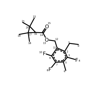 CCc1c(F)c(C)c(F)c(F)c1COC(=O)C1C(C)(C)C1(C)C